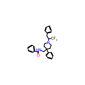 O=C(NCC1(c2ccccc2)CCN(C(Cc2ccccc2)C(F)(F)F)CC1)c1ccccc1